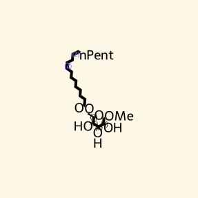 CCCCC/C=C\C/C=C\CCCCCCCC(=O)OC[C@H]1OC(OC)[C@H](O)[C@@H](O)[C@@H]1O